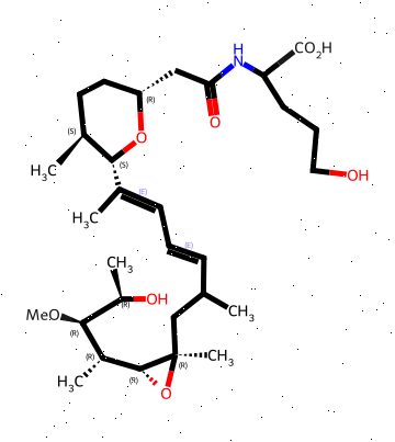 CO[C@H]([C@@H](C)[C@H]1O[C@]1(C)CC(C)/C=C/C=C(\C)[C@H]1O[C@@H](CC(=O)NC(CCCO)C(=O)O)CC[C@@H]1C)[C@@H](C)O